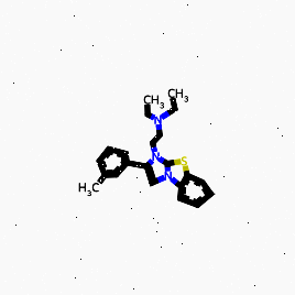 CCN(CC)CCN1C(c2cccc(C)c2)=CN2c3cc[c]cc3SC12